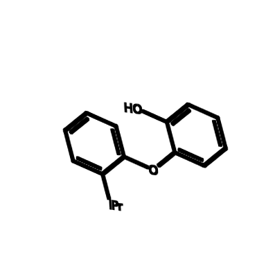 CC(C)c1ccccc1Oc1ccccc1O